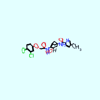 Cc1ccc(C(=O)NC23CC(=C(NC(=O)COc4ccc(Cl)c(Cl)c4)[C@@H](O)C2)C3)nc1